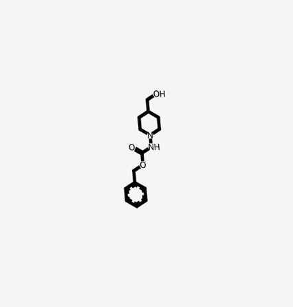 O=C(NN1CCC(CO)CC1)OCc1ccccc1